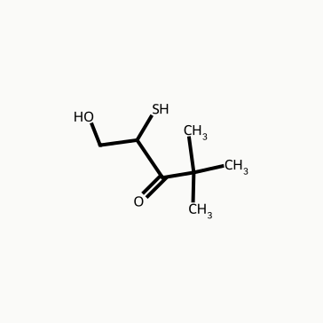 CC(C)(C)C(=O)C(S)CO